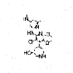 CNc1cc(C)nc(Nc2nc3c(c(C4=CCNC[C@@H](O)C4)c2Cl)OCCO3)c1